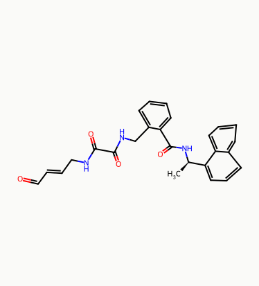 C[C@@H](NC(=O)c1ccccc1CNC(=O)C(=O)NC/C=C/C=O)c1cccc2ccccc12